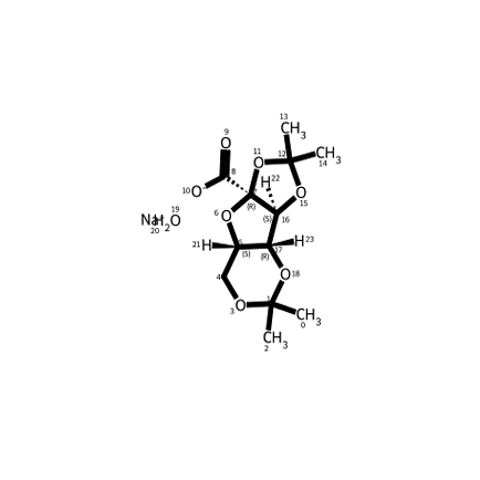 CC1(C)OC[C@@H]2O[C@@]3(C(=O)[O-])OC(C)(C)O[C@H]3[C@@H]2O1.O.[Na+]